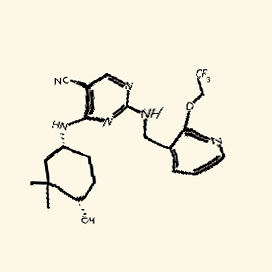 CC1(C)C[C@H](Nc2nc(NCc3cccnc3OCC(F)(F)F)ncc2C#N)CC[C@@H]1O